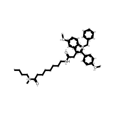 CCCCN(C)C(=O)CCCCCCCNC(=O)Cc1c(-c2ccc(OC)cc2)n(Cc2ccccc2)c2ccc(OC)cc12